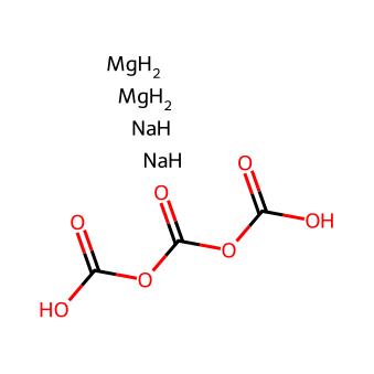 O=C(O)OC(=O)OC(=O)O.[MgH2].[MgH2].[NaH].[NaH]